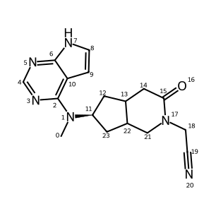 CN(c1ncnc2[nH]ccc12)[C@H]1CC2CC(=O)N(CC#N)CC2C1